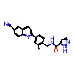 Cc1cc(-c2ccc3cc(C#N)ccc3n2)ccc1CNC(=O)c1ccn[nH]1